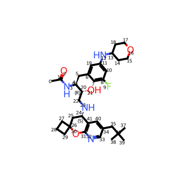 CC(=O)N[C@@H](Cc1cc(F)cc(NC2CCOCC2)c1)[C@H](O)CN[C@H]1CC2(CCC2)Oc2ncc(CC(C)(C)C)cc21